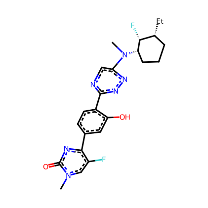 CC[C@@H]1CCC[C@H](N(C)c2cnc(-c3ccc(-c4nc(=O)n(C)cc4F)cc3O)nn2)[C@@H]1F